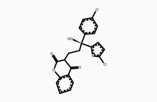 O=C1Oc2ccccc2C(=O)C1CC[C@](O)(c1ccc(Cl)cc1)c1ccc(Cl)s1